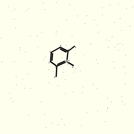 Cc1cccc(C)[n+]1C